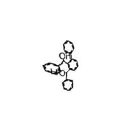 OC(c1ccccc1)c1cccc(-c2ccccc2)c1C(O)c1ccccc1